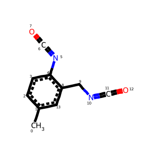 Cc1ccc(N=C=O)c(CN=C=O)c1